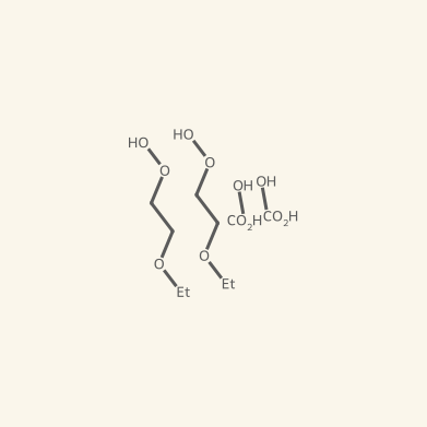 CCOCCOO.CCOCCOO.O=C(O)O.O=C(O)O